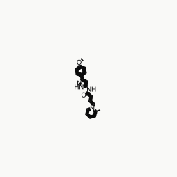 COc1ccc(-c2cc(NC(=O)CCCN3CCCC[C@@H]3C)[nH]n2)cc1